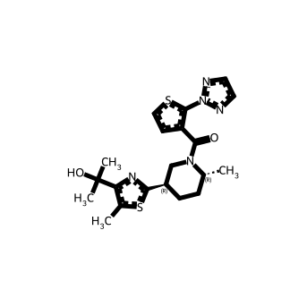 Cc1sc([C@@H]2CC[C@@H](C)N(C(=O)c3ccsc3-n3nccn3)C2)nc1C(C)(C)O